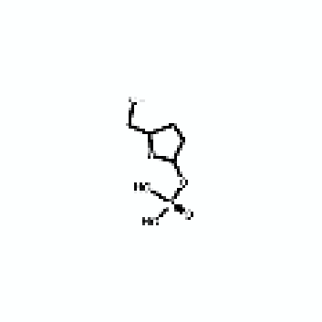 O=P(O)(O)OC1CCC(CO)O1